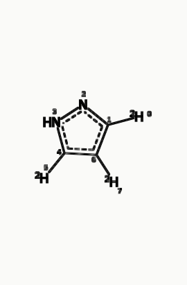 [2H]c1n[nH]c([2H])c1[2H]